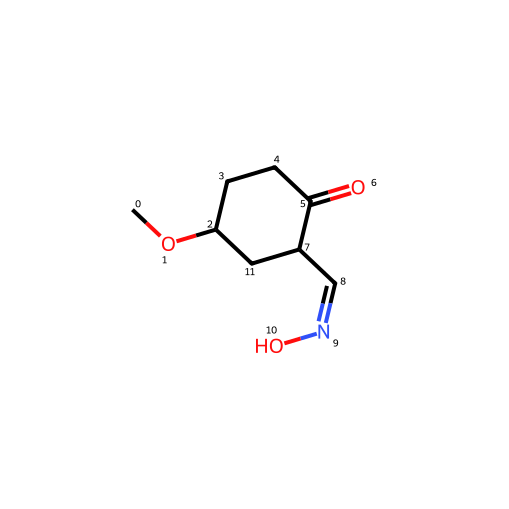 COC1CCC(=O)C(/C=N\O)C1